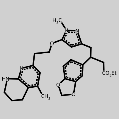 CCOC(=O)CC(Cc1cc(OCCc2cc(C)c3c(n2)NCCC3)n(C)n1)c1ccc2c(c1)OCO2